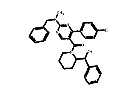 CN(Cc1ccccc1)c1ncc(C(=O)N2CCCCC2C(O)c2ccccc2)c(-c2ccc(Cl)cc2)n1